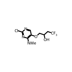 CNc1nc(Cl)ncc1OCC(O)CC(F)(F)F